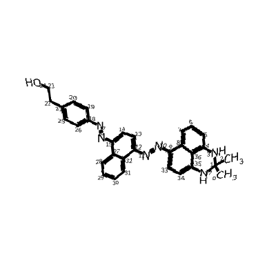 CC1(C)Nc2cccc3c(/N=N/c4ccc(/N=N/c5ccc(CCO)cc5)c5ccccc45)ccc(c23)N1